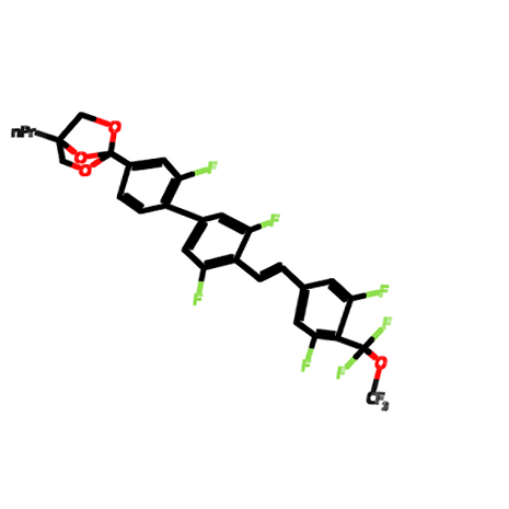 CCCC12COC(c3ccc(-c4cc(F)c(/C=C/c5cc(F)c(C(F)(F)OC(F)(F)F)c(F)c5)c(F)c4)c(F)c3)(OC1)O2